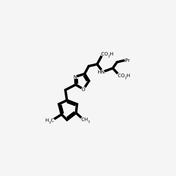 Cc1cc(C)cc(Cc2nc(CC(NC(CC(C)C)C(=O)O)C(=O)O)co2)c1